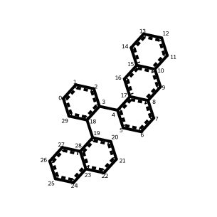 c1ccc(-c2cccc3cc4ccccc4cc23)c(-c2cccc3ccccc23)c1